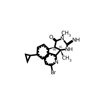 CN1C(=N)N[C@](C)(c2cccc(Br)n2)[C@@H](c2ccc(C3CC3)cc2)C1=O